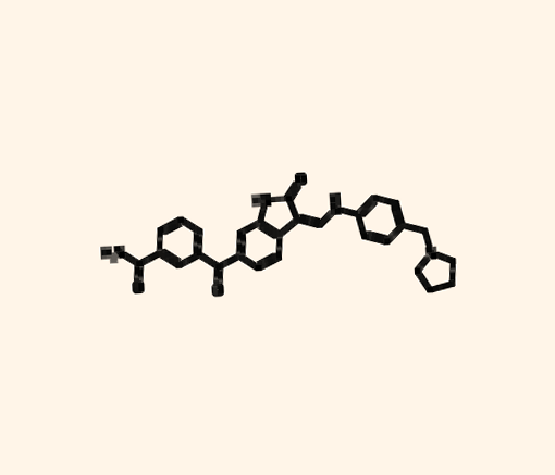 NC(=O)c1cccc(C(=O)c2ccc3c(c2)NC(=O)C3=CNc2ccc(CN3CCCC3)cc2)c1